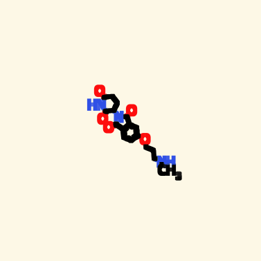 CNCCCOc1ccc2c(c1)C(=O)N(C1CCC(=O)NC1=O)C2=O